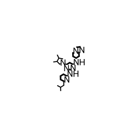 CC(C)Cc1cccc(Nc2nc(Nc3ccn4ccnc4c3)cc(N3CC(C)C(C)C3)n2)n1